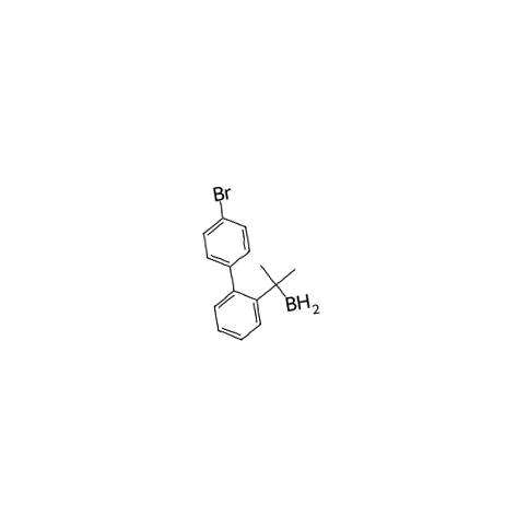 BC(C)(C)c1ccccc1-c1ccc(Br)cc1